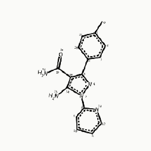 Cc1ccc(-c2nn(-c3ccccn3)c(N)c2C(N)=O)cc1